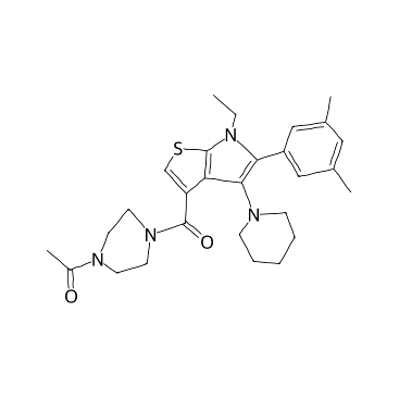 CCn1c(-c2cc(C)cc(C)c2)c(N2CCCCC2)c2c(C(=O)N3CCN(C(C)=O)CC3)csc21